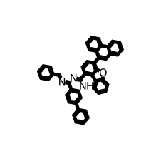 N/C(=N\C(=N/Cc1ccccc1)c1ccc(-c2ccccc2)cc1)c1ccc(-c2cc3ccccc3c3ccccc23)c2oc3ccccc3c12